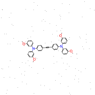 COc1cccc(N(c2ccc(C#Cc3ccc(N(c4cccc(OC)c4)c4cccc(OC)c4)cc3)cc2)c2cccc(OC)c2)c1